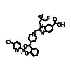 C[C@@]1(c2ccc(Cl)cn2)Oc2ccccc2C(C2=CCN(Cc3nc4ccc(C(=O)O)cc4n3CC3(CF)CC3)CC2)O1